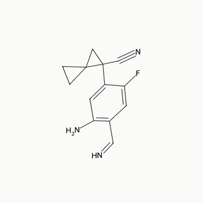 N#CC1(c2cc(N)c(C=N)cc2F)CC12CC2